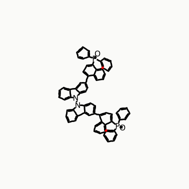 O=P(c1ccccc1)(c1ccccc1)c1ccc(-c2ccc3c(c2)c2ccccc2n3-n2c3ccccc3c3cc(-c4ccc(P(=O)(c5ccccc5)c5ccccc5)c5ccccc45)ccc32)c2ccccc12